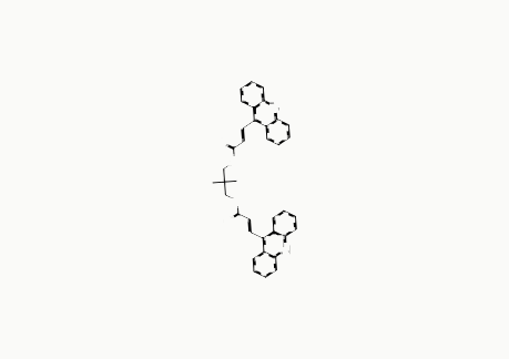 CC(C)(COC(=O)C=Cc1c2ccccc2nc2ccccc12)COC(=O)C=Cc1c2ccccc2nc2ccccc12